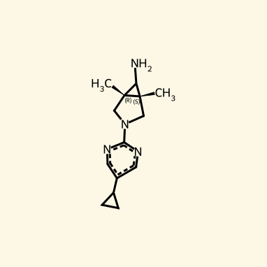 C[C@@]12CN(c3ncc(C4CC4)cn3)C[C@]1(C)C2N